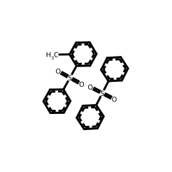 Cc1ccccc1S(=O)(=O)c1ccccc1.O=S(=O)(c1ccccc1)c1ccccc1